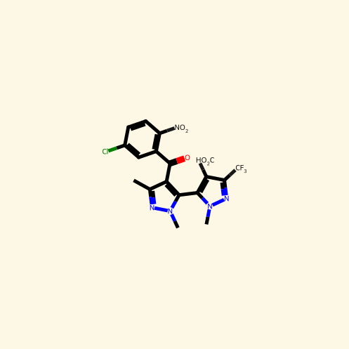 Cc1nn(C)c(-c2c(C(=O)O)c(C(F)(F)F)nn2C)c1C(=O)c1cc(Cl)ccc1[N+](=O)[O-]